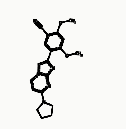 COc1cc(OC)c(-c2cn3ccc(N4CCCC4)nc3n2)cc1C#N